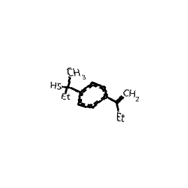 C=C(CC)c1ccc(C(C)(S)CC)cc1